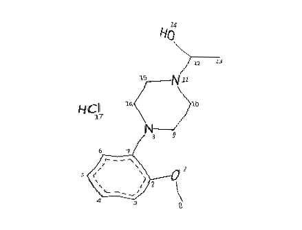 COc1ccccc1N1CCN(C(C)O)CC1.Cl